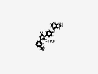 Cl.O=C1CN(c2cccc(C(F)(F)F)c2)C(=O)N1c1ccc(Oc2ncnc3[nH]cnc23)cc1